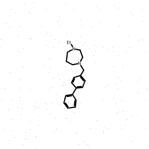 CCN1CCCN(Cc2ccc(-c3ccccc3)cc2)CC1